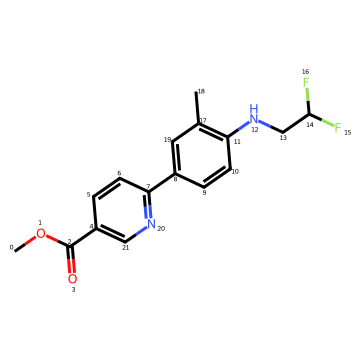 COC(=O)c1ccc(-c2ccc(NCC(F)F)c(C)c2)nc1